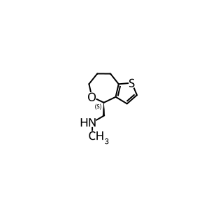 CNC[C@H]1OCCCc2sccc21